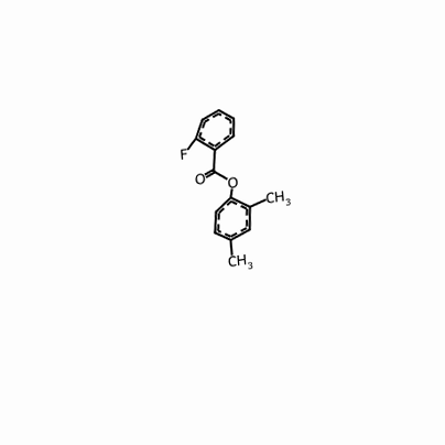 Cc1ccc(OC(=O)c2ccccc2F)c(C)c1